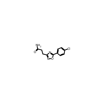 NC(=O)CCc1noc(-c2ccc(Cl)cc2)n1